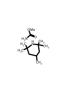 CC1CC(C)(C)NC(C)(C)C1.COC(N)=O